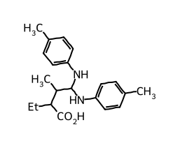 CCC(C(=O)O)C(C)C(Nc1ccc(C)cc1)Nc1ccc(C)cc1